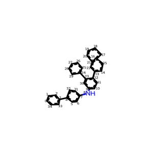 c1ccc(-c2ccc(Nc3ccc(-c4ccc5ccccc5c4)c(-c4ccccc4)c3)cc2)cc1